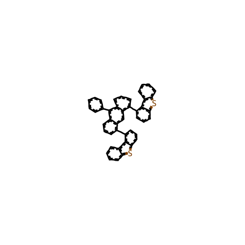 c1ccc(-c2c3cccc(-c4cccc5sc6ccccc6c45)c3cc3c(-c4cccc5sc6ccccc6c45)cccc23)cc1